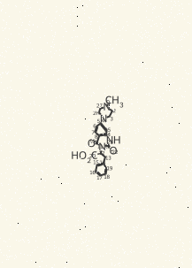 CN1CCN(c2ccc3c(=O)n([C@@H](Cc4ccccc4)C(=O)O)c(=O)[nH]c3c2)CC1